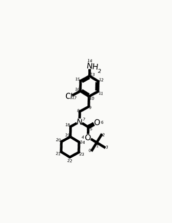 CC(C)(C)OC(=O)N(CCc1ccc(N)cc1Cl)CC1CCCCC1